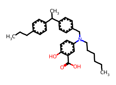 CCCCCCN(Cc1ccc(C(C)c2ccc(CCC)cc2)cc1)c1ccc(O)c(C(=O)O)c1